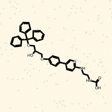 O=C(O)NCCNc1ccc(-c2ccc(OCC(O)COC(c3ccccc3)(c3ccccc3)c3ccccc3)cc2)cn1